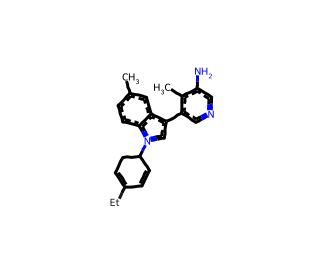 CCC1=CCC(n2cc(-c3cncc(N)c3C)c3cc(C)ccc32)C=C1